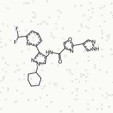 O=C(Nc1cn(C2CCCCC2)nc1-c1cccc(C(F)F)n1)c1coc(-c2cn[nH]c2)n1